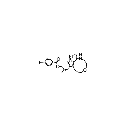 CCn1nc(C[C@@H](C)COC(=O)c2ccc(F)cc2)c2c1C(=O)NCCCOCCC2